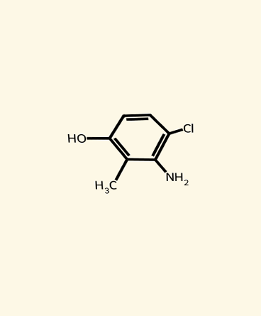 Cc1c(O)ccc(Cl)c1N